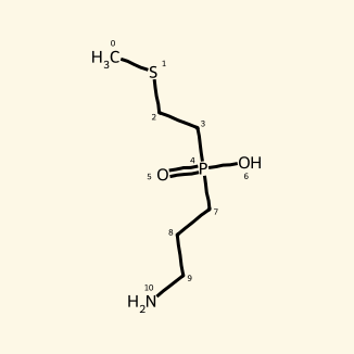 CSCCP(=O)(O)CCCN